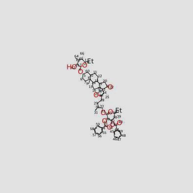 CCC1O[C@@H](OC2CCC3(C)C(CCC4C3CCC3(C)C4CC(=O)C3[C@H](C)C(=O)CC[C@H](C)CO[C@@H]3OC(CC)[C@H](C)[C@H](OC(=O)c4ccccc4)C3OC(=O)c3ccccc3)C2)C(O)[C@@H](C)[C@@H]1C